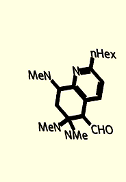 CCCCCCc1ccc2c(n1)C(NC)CC(NC)(NC)C2C=O